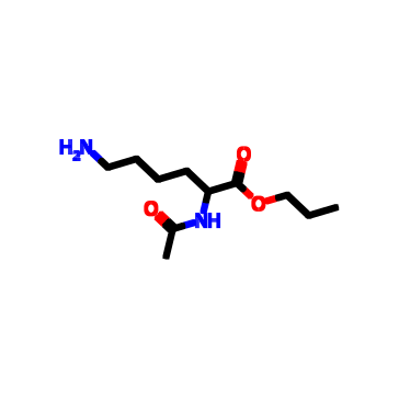 CCCOC(=O)C(CCCCN)NC(C)=O